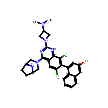 CN(C)C1CN(c2nc(N3CC4CCC(C3)N4)c3cc(Cl)c(-c4cc(O)cc5ccccc45)c(Cl)c3n2)C1